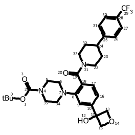 CC(C)(C)OC(=O)N1CCN(c2cc(C3(O)COC3)ccc2C(=O)N2CCC(c3ccc(C(F)(F)F)cc3)CC2)CC1